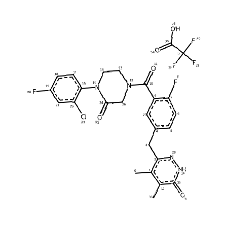 Cc1c(Cc2ccc(F)c(C(=O)N3CCN(c4ccc(F)cc4Cl)C(=O)C3)c2)n[nH]c(=O)c1C.O=C(O)C(F)(F)F